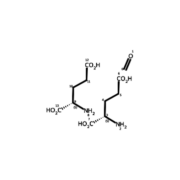 C=O.N[C@@H](CCC(=O)O)C(=O)O.N[C@@H](CCC(=O)O)C(=O)O